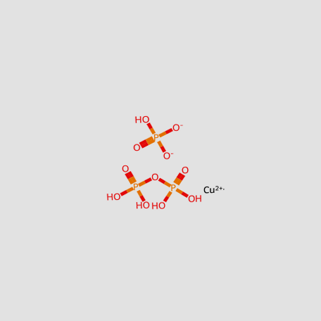 O=P(O)(O)OP(=O)(O)O.O=P([O-])([O-])O.[Cu+2]